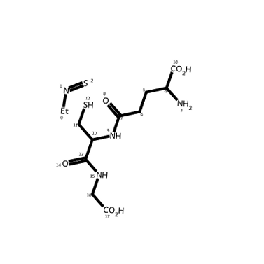 CCN=S.NC(CCC(=O)NC(CS)C(=O)NCC(=O)O)C(=O)O